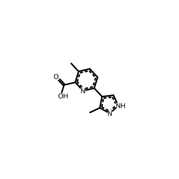 Cc1ccc(-c2c[nH]nc2C)nc1C(=O)O